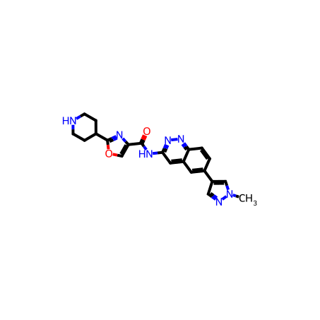 Cn1cc(-c2ccc3nnc(NC(=O)c4coc(C5CCNCC5)n4)cc3c2)cn1